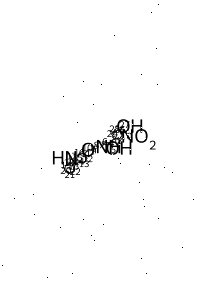 O=[N+]([O-])c1cc(C(O)CNCCOc2ccc3c(c2)[nH]c2ccccc23)ccc1O